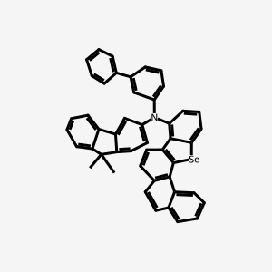 CC1(C)c2ccccc2-c2cc(N(c3cccc(-c4ccccc4)c3)c3cccc4[se]c5c(ccc6ccc7ccccc7c65)c34)ccc21